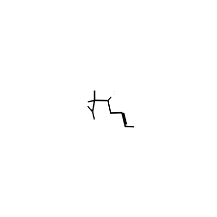 CC=CCC(C(C)=O)C1(C)OC1Cl